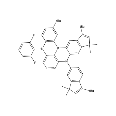 CC(C)(C)C1=CC(C)(C)c2cc(N3c4cc5c(cc4B4c6cc(C(C)(C)C)ccc6N(c6c(F)cccc6F)c6cccc3c64)C(C(C)(C)C)=CC5(C)C)ccc21